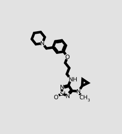 CN(c1n[s+]([O-])nc1NCCCOc1cccc(CN2CCCCC2)c1)C1CC1